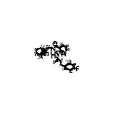 CC(CCc1ccc(F)cc1)Sc1ncccc1C(=O)NCC1CC2CCC1C2